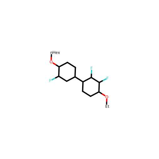 CCCCCCOC1CCC(C2CCC(OCC)C(F)C2F)CC1F